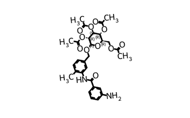 CC(=O)OC[C@H]1O[C@@H](OCc2ccc(C)c(NC(=O)c3cccc(N)c3)c2)[C@H](OC(C)=O)[C@@H](OC(C)=O)[C@@H]1OC(C)=O